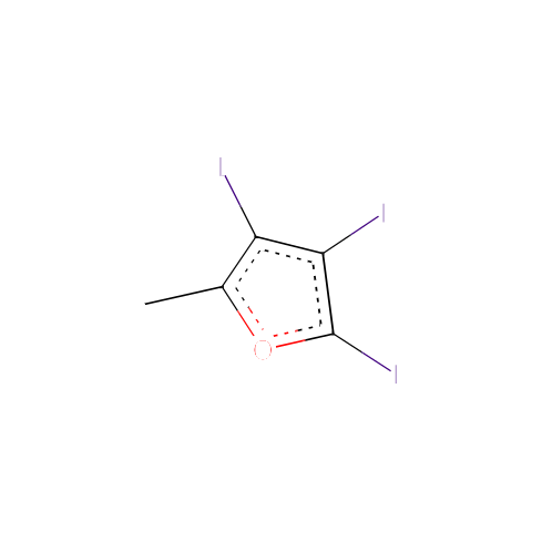 Cc1oc(I)c(I)c1I